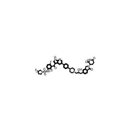 O=C1CC[C@H](N2Cc3cc(C[C@@H](O)CN4CCC(c5ccc(-c6cnc7[nH]cc(C(=O)c8c(F)ccc(NS(=O)(=O)N9CC[C@@H](F)C9)c8F)c7c6)cc5)CC4)ccc3C2=O)C(=O)N1